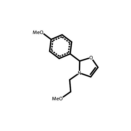 COCCN1C=COC1c1ccc(OC)cc1